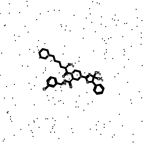 CC1(C)N=C(N2CCN(C(=O)[C@H](N)CCCCN3CCCCC3)[C@H](C(=O)NCc3cccc(Cl)c3)C2)OC1c1ccccc1